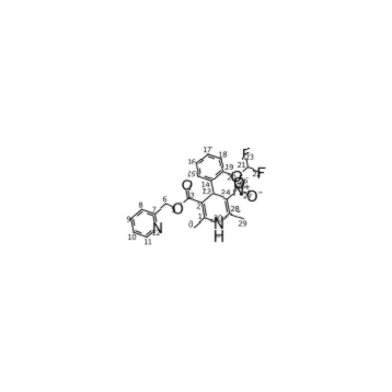 CC1=C(C(=O)OCc2ccccn2)C(c2ccccc2OC(F)F)C([N+](=O)[O-])=C(C)N1